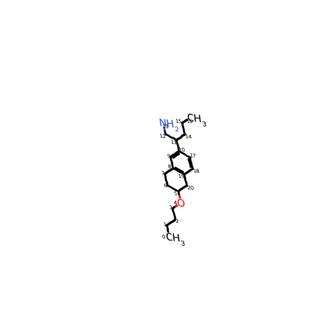 CCCCOC1CCc2cc(C(CN)CCC)ccc2C1